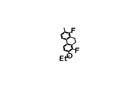 CCOc1ccc2c(c1F)CCc1c-2ccc(C)c1F